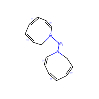 C1=C\C=C/N(NN2\C=C/C=C\C=C/C2)C\C=C/1